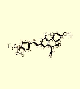 CC1=C(c2ccc(C)cc2)C(=C(C#N)C#N)C=C(C=Cc2ccc(N(C)C)cc2)O1